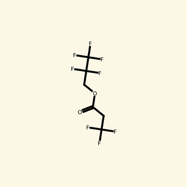 O=C(CC(F)(F)F)OCC(F)(F)C(F)(F)F